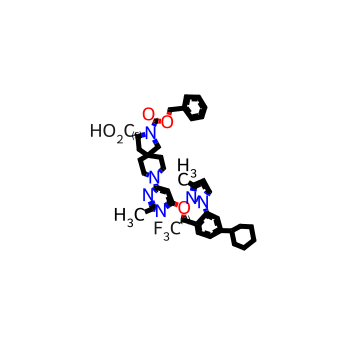 Cc1ccn(-c2cc(C3CCCCC3)ccc2[C@@H](Oc2cc(N3CCC4(CC3)C[C@@H](C(=O)O)N(C(=O)OCc3ccccc3)C4)nc(C)n2)C(F)(F)F)n1